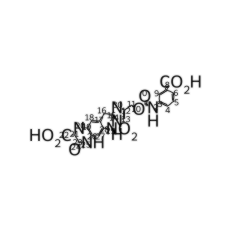 O=C(Nc1cccc(C(=O)O)c1)OCc1c[nH]c(Cc2cc3nc(C(=O)O)c(=O)[nH]c3cc2[N+](=O)[O-])n1